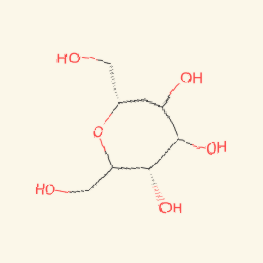 OCC1O[C@H](CO)C(O)C(O)[C@@H]1O